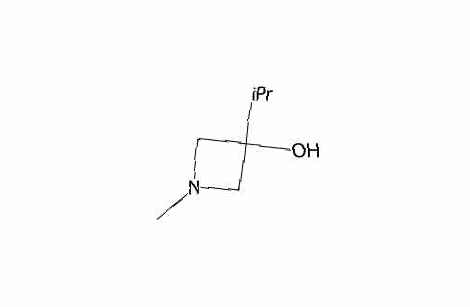 CC(C)C1(O)CN(C)C1